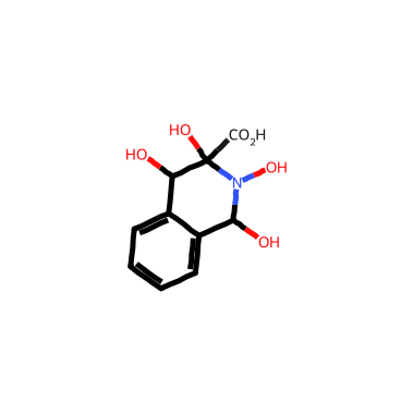 O=C(O)C1(O)C(O)c2ccccc2C(O)N1O